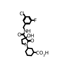 O=C(O)C1CCCC(N2CCC(O)(C(=O)NCc3cc(F)cc(Cl)c3)C2=O)C1